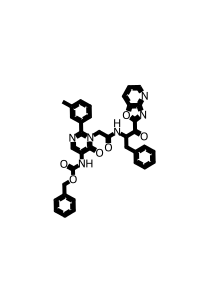 Cc1cccc(-c2ncc(NC(=O)OCc3ccccc3)c(=O)n2CC(=O)NC(Cc2ccccc2)C(=O)c2nc3ncccc3o2)c1